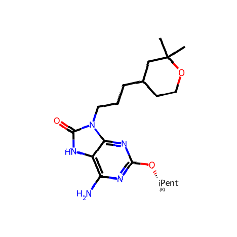 CCC[C@@H](C)Oc1nc(N)c2[nH]c(=O)n(CCCC3CCOC(C)(C)C3)c2n1